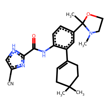 CN1CCOC1(C)c1ccc(NC(=O)c2nc(C#N)c[nH]2)c(C2=CCC(C)(C)CC2)c1